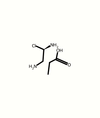 CCC(=O)O.NC[C@H](N)Cl